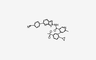 Cc1cc(-c2cc(S(C)(=O)=O)ccc2C2CC2)c(C(=O)Nc2nc3ccc(-c4ccc(C#N)cc4)nc3s2)cn1